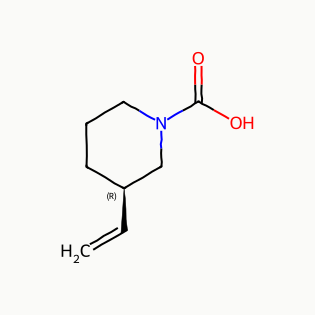 C=C[C@H]1CCCN(C(=O)O)C1